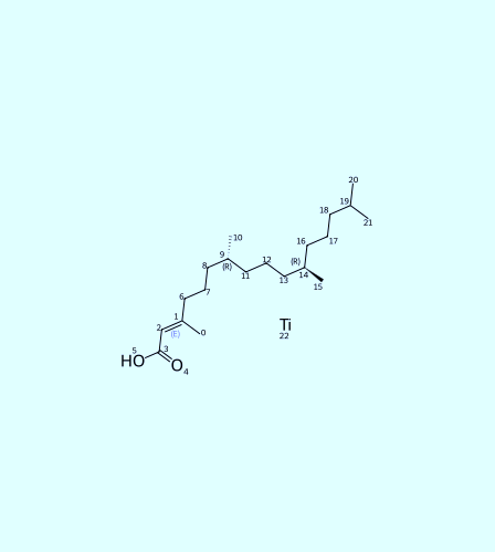 C/C(=C\C(=O)O)CCC[C@H](C)CCC[C@H](C)CCCC(C)C.[Ti]